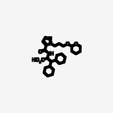 O=C(NC(C(=O)O)C(C1CCCCC1)C1CCCCC1)c1ccnn1CCCOC1CCCCO1